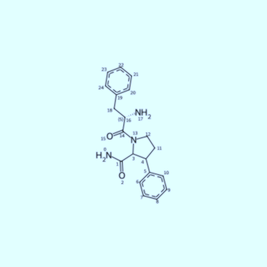 NC(=O)C1C(c2ccccc2)CCN1C(=O)[C@@H](N)Cc1ccccc1